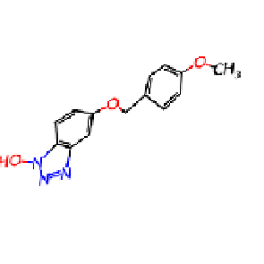 COc1ccc(COc2ccc3c(c2)nnn3O)cc1